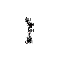 O=C1CCC(N2C(=O)c3cccc(NCCOCCOCCNCc4ccc(-n5cc(NC(=O)c6coc(-c7ccnc(NCC8CC8)c7)n6)c(C(F)(F)F)n5)cc4)c3C2=O)C(=O)N1